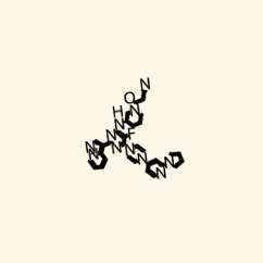 N#CCC(=O)N1CCC[C@@H](Nc2nc(-c3cnn4ccccc34)nc(N3CCN(c4ccnc(N5CCCC5)c4)CC3)c2F)C1